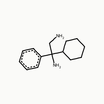 NCC(N)(c1ccccc1)C1CCCCC1